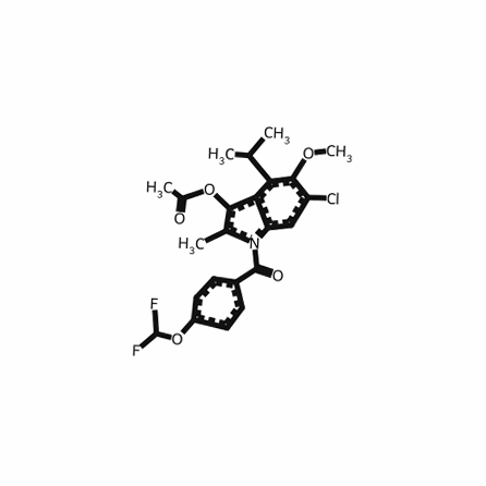 COc1c(Cl)cc2c(c(OC(C)=O)c(C)n2C(=O)c2ccc(OC(F)F)cc2)c1C(C)C